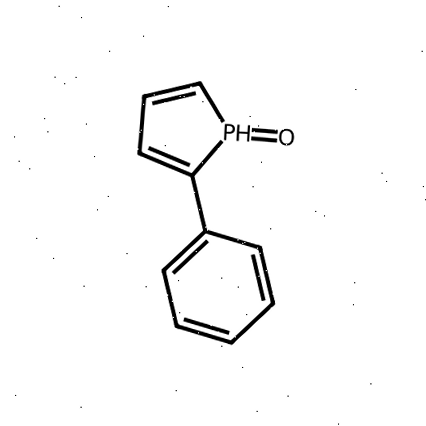 O=[PH]1C=CC=C1c1ccccc1